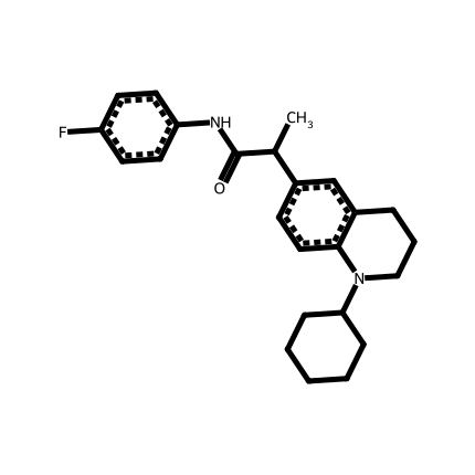 CC(C(=O)Nc1ccc(F)cc1)c1ccc2c(c1)CCCN2C1CCCCC1